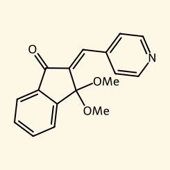 COC1(OC)C(=Cc2ccncc2)C(=O)c2ccccc21